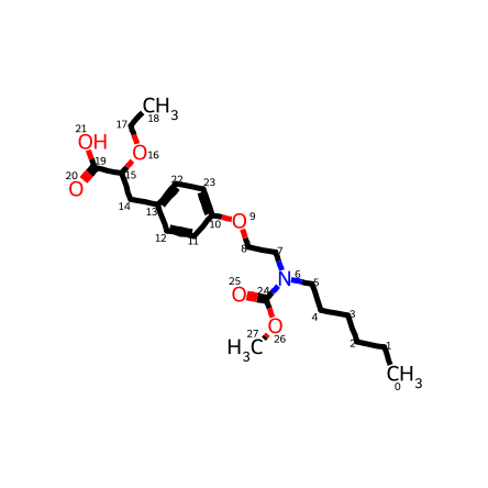 CCCCCCN(CCOc1ccc(CC(OCC)C(=O)O)cc1)C(=O)OC